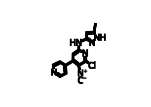 [C-]#[N+]c1c(-c2ccncc2)cc(Nc2cc(C)[nH]n2)nc1Cl